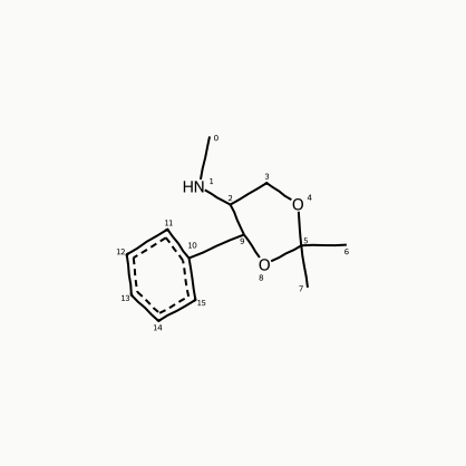 CNC1COC(C)(C)OC1c1ccccc1